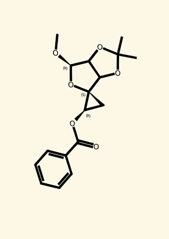 CO[C@@H]1O[C@]2(C[C@H]2OC(=O)c2ccccc2)C2OC(C)(C)OC21